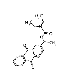 CCN(CC)C(=O)OC(C)c1ccc2c(c1)C(=O)c1ccccc1C2=O